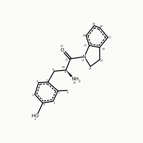 Cc1cc(O)ccc1C[C@H](N)C(=O)N1CCc2ccccc21